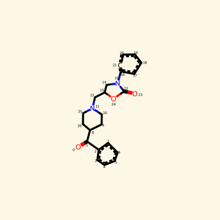 O=C(c1ccccc1)C1CCN(CC2CN(c3ccccc3)C(=O)O2)CC1